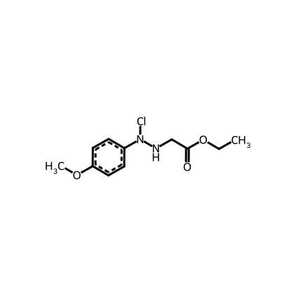 CCOC(=O)CNN(Cl)c1ccc(OC)cc1